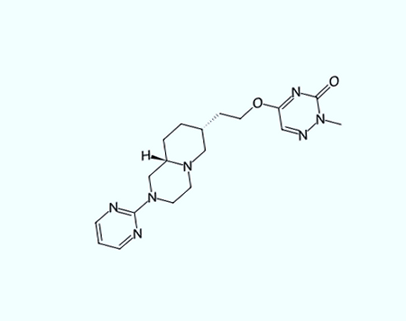 Cn1ncc(OCC[C@H]2CC[C@H]3CN(c4ncccn4)CCN3C2)nc1=O